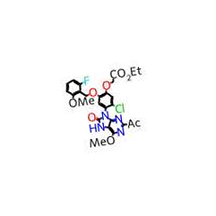 CCOC(=O)COc1cc(Cl)c(-n2c(=O)[nH]c3c(OC)nc(C(C)=O)nc32)cc1OCc1c(F)cccc1OC